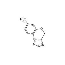 Cc1ccc2c(c1)OCc1ncnn1-2